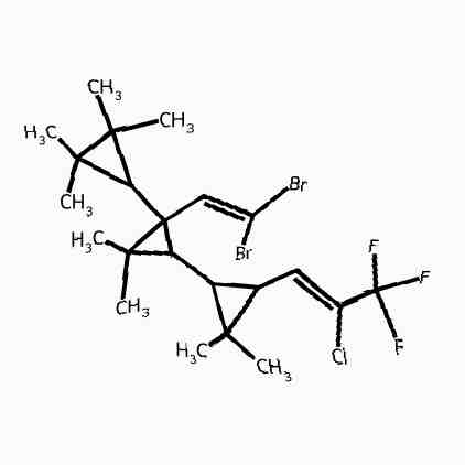 CC1(C)C(C=C(Cl)C(F)(F)F)C1[C]1C(C)(C)C1(C=C(Br)Br)C1C(C)(C)C1(C)C